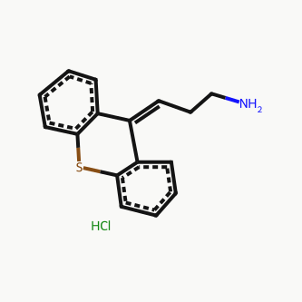 Cl.NCCC=C1c2ccccc2Sc2ccccc21